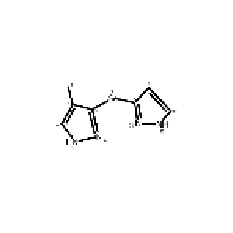 Cc1c[nH]nc1[Se]c1cc[nH]n1